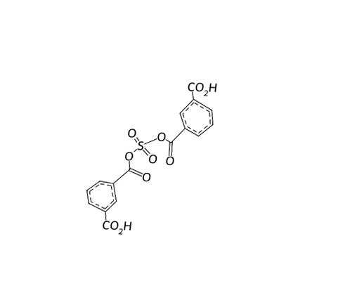 O=C(O)c1cccc(C(=O)OS(=O)(=O)OC(=O)c2cccc(C(=O)O)c2)c1